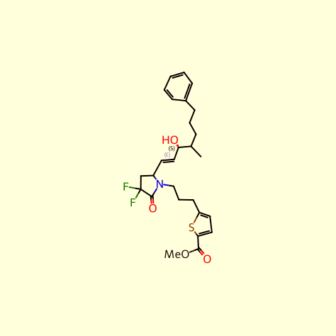 COC(=O)c1ccc(CCCN2C(=O)C(F)(F)CC2/C=C/[C@@H](O)C(C)CCCc2ccccc2)s1